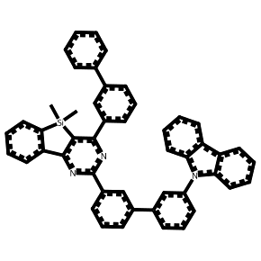 C[Si]1(C)c2ccccc2-c2nc(-c3cccc(-c4cccc(-n5c6ccccc6c6ccccc65)c4)c3)nc(-c3cccc(-c4ccccc4)c3)c21